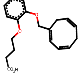 O=C(O)CCCOc1ccccc1OC/C1=C/C=C\C/C=C\C1